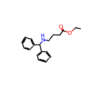 CCOC(=O)CCCNC(c1ccccc1)c1ccccc1